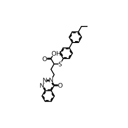 CCc1ccc(-c2ccc(SC(CCn3nnc4ccccc4c3=O)C(=O)O)cc2)cc1